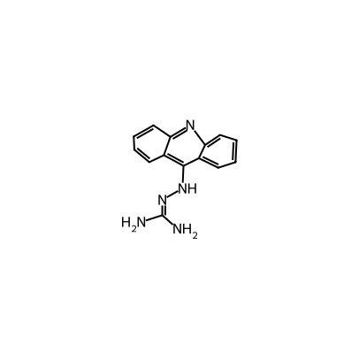 NC(N)=NNc1c2ccccc2nc2ccccc12